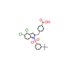 CC(C)(C)c1cccc(S(=O)(=O)n2c(Cc3ccc(C(=O)O)cc3)cc3c(Cl)c(Cl)ccc32)c1